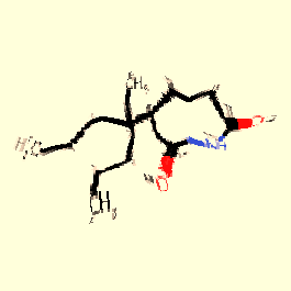 CCCC(C)(CCC)C1CCC(=O)NC1=O